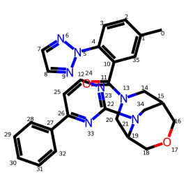 Cc1ccc(-n2nccn2)c(C(=O)N2CC3COCC(C2)N(c2nccc(-c4ccccc4)n2)C3)c1